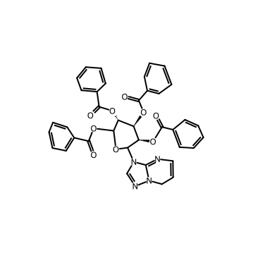 O=C(OC1OC(N2C=NN3CC=CN=C32)[C@H](OC(=O)c2ccccc2)[C@H](OC(=O)c2ccccc2)[C@H]1OC(=O)c1ccccc1)c1ccccc1